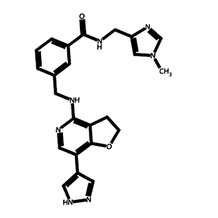 Cn1cnc(CNC(=O)c2cccc(CNc3ncc(-c4cn[nH]c4)c4c3CCO4)c2)c1